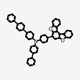 c1ccc(-c2ccc(-c3ccc(N(c4ccc(-c5ccccc5)cc4)c4ccc(-c5cc6oc7ccccc7c6c6c5oc5ccccc56)cc4)cc3)cc2)cc1